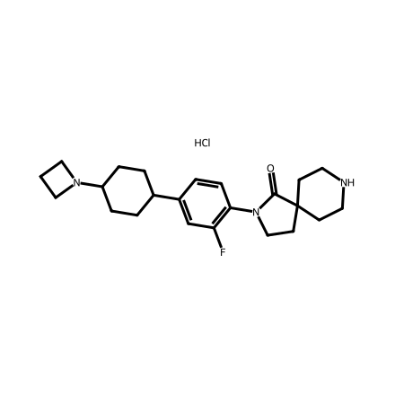 Cl.O=C1N(c2ccc(C3CCC(N4CCC4)CC3)cc2F)CCC12CCNCC2